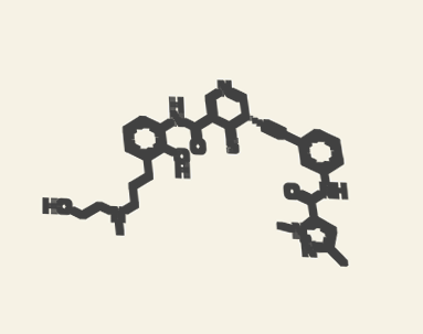 Cc1cc(C(=O)Nc2cccc(C#C[C@H]3C=NC=C(C(=O)Nc4cccc(CCCN(C)CCO)c4O)C3=S)c2)n(C)n1